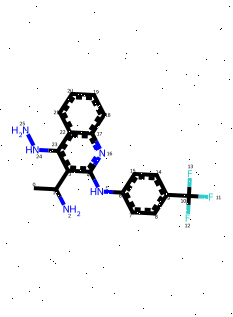 CC(N)c1c(Nc2ccc(C(F)(F)F)cc2)nc2ccccc2c1NN